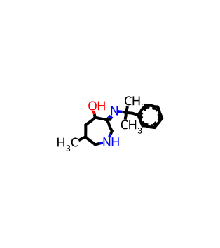 CC1CNC/C(=N\C(C)(C)c2ccccc2)C(O)C1